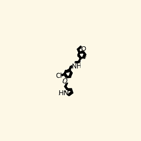 Clc1cc(CNCCc2ccc3c(c2)CCO3)ccc1OCCc1ccc[nH]1